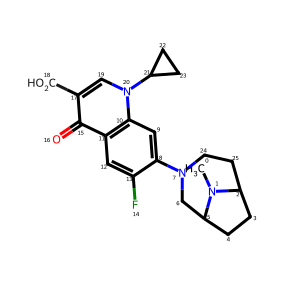 CN1C2CCC1CN(c1cc3c(cc1F)c(=O)c(C(=O)O)cn3C1CC1)CC2